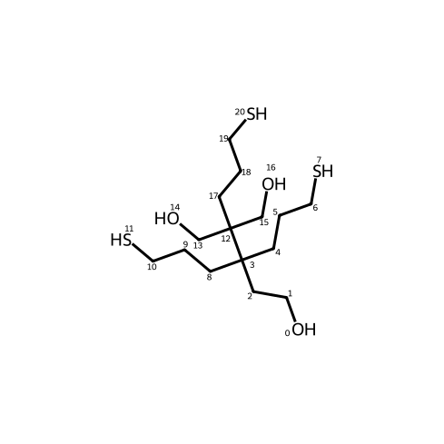 OCCC(CCCS)(CCCS)C(CO)(CO)CCCS